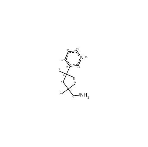 CC(C)(CN)CC(C)(C)c1cccnc1